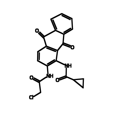 O=C(CCl)Nc1ccc2c(c1NC(=O)C1CC1)C(=O)c1ccccc1C2=O